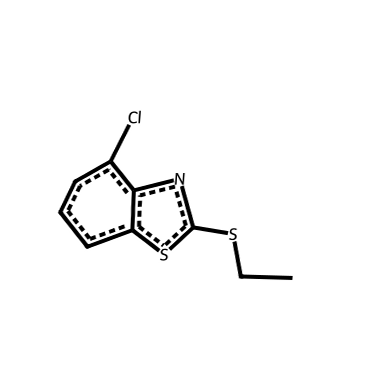 CCSc1nc2c(Cl)cccc2s1